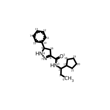 CCC(NC(=O)C1=NNC(c2ccccc2)C1)C1CCCC1